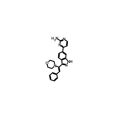 Nc1nccc(-c2ccc3c(C(=Cc4ccccc4)N4CCOCC4)n[nH]c3c2)n1